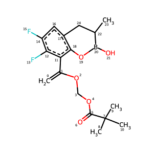 C=C(OCOC(=O)C(C)(C)C)c1c(F)c(F)cc2c1OB(O)C(C)C2